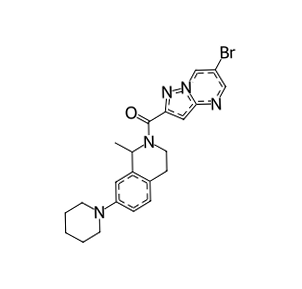 CC1c2cc(N3CCCCC3)ccc2CCN1C(=O)c1cc2ncc(Br)cn2n1